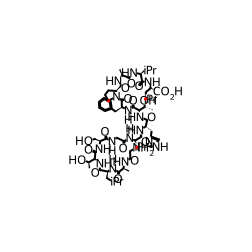 CC(C)C[C@H](NC(=O)[C@@H](NC(=O)[C@H](C)NC(=O)[C@@H]1CCCN1C(=O)[C@H](Cc1ccccc1)NC(=O)[C@@H](NC(=O)[C@H](Cc1c[nH]cn1)NC(=O)[C@@H](NC(=O)CNC(=O)[C@H](CO)NC(=O)[C@@H](NC(=O)[C@H](CC(C)C)NC(=O)[C@H](C)NC(=O)CN)[C@@H](C)O)C(C)C)[C@@H](C)O)C(C)C)C(=O)O